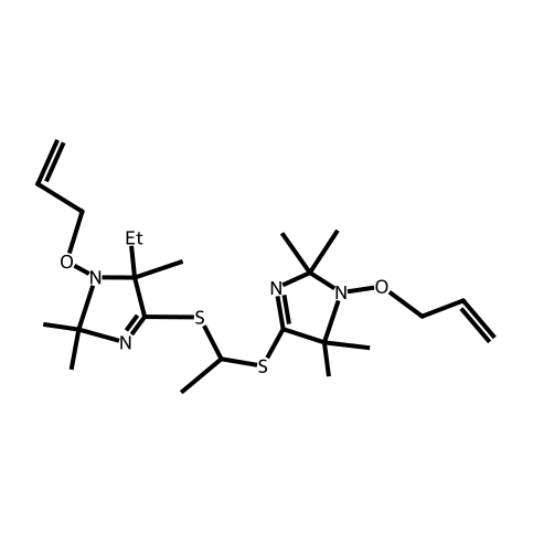 C=CCON1C(C)(C)N=C(SC(C)SC2=NC(C)(C)N(OCC=C)C2(C)CC)C1(C)C